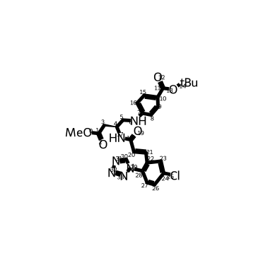 COC(=O)C[C@@H](CNc1ccc(C(=O)OC(C)(C)C)cc1)NC(=O)/C=C/c1cc(Cl)ccc1-n1cnnn1